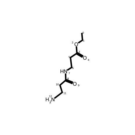 CCOC(=O)CCNC(=O)CCN